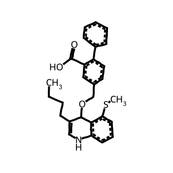 CCCCC1=CNc2cccc(SC)c2C1OCc1ccc(-c2ccccc2)c(C(=O)O)c1